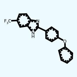 FC(F)(F)c1ccc2nc(-c3ccc(Oc4ccccc4)cc3)[nH]c2c1